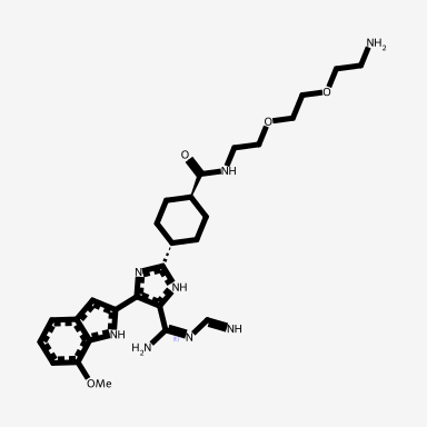 COc1cccc2cc(-c3nc([C@H]4CC[C@H](C(=O)NCCOCCOCCN)CC4)[nH]c3/C(N)=N\C=N)[nH]c12